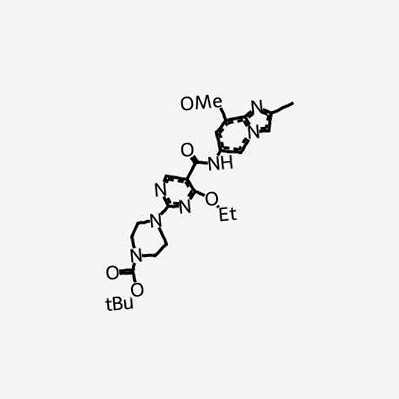 CCOc1nc(N2CCN(C(=O)OC(C)(C)C)CC2)ncc1C(=O)Nc1cc(OC)c2nc(C)cn2c1